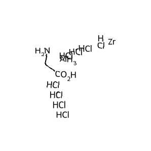 Cl.Cl.Cl.Cl.Cl.Cl.Cl.Cl.NCC(=O)O.[AlH3].[Zr]